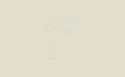 O=C(OCCCOc1ccc(C2CCN(C(=O)O)CC2OCc2ccc3ccccc3c2)cc1)c1ccccc1